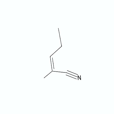 CCC=C(C)C#N